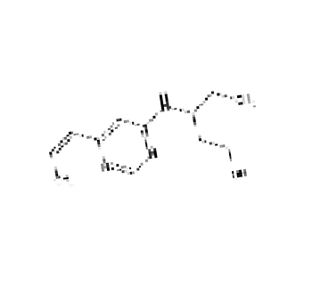 C/C=C\c1cc(NC(CC)CCO)ncn1